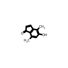 Cc1cc(O)c(C)c2c1C(=O)C=C2